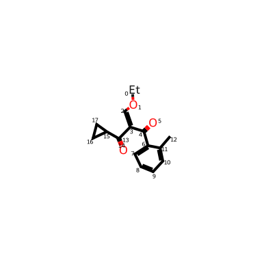 CCO/C=C(\C(=O)c1ccccc1C)C(=O)C1CC1